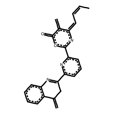 C=C1CC(c2cccc(-c3n/c(=C/C=C\C)c(=C)c(=O)o3)n2)=Nc2ccccc21